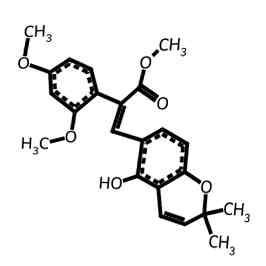 COC(=O)C(=Cc1ccc2c(c1O)C=CC(C)(C)O2)c1ccc(OC)cc1OC